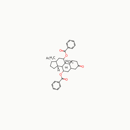 CC(=O)[C@H]1CC[C@H]2[C@@H]3C(OC(=O)c4ccccc4)CC4CC(=O)CC[C@]4(C)[C@H]3C(OC(=O)c3ccccc3)C[C@]12C